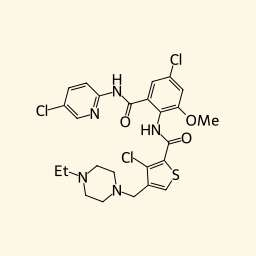 CCN1CCN(Cc2csc(C(=O)Nc3c(OC)cc(Cl)cc3C(=O)Nc3ccc(Cl)cn3)c2Cl)CC1